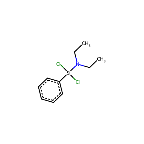 CCN(CC)[Si](Cl)(Cl)c1ccccc1